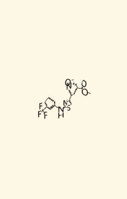 COC(=O)c1cc(-c2csc(Nc3cccc(C(F)(F)F)c3)n2)c[n+]([O-])c1